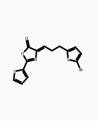 O=C1OC(c2cccs2)=N/C1=C\CCc1ccc(Br)s1